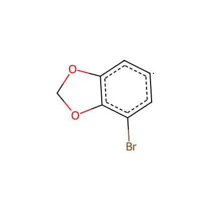 Brc1c[c]cc2c1OCO2